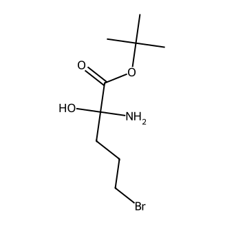 CC(C)(C)OC(=O)C(N)(O)CCCBr